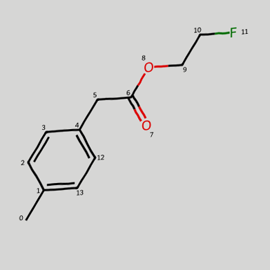 Cc1ccc(CC(=O)OCCF)cc1